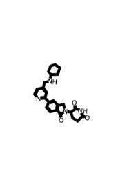 O=C1CCC(N2Cc3cc(-c4cc(CNC5CCCCC5)ccn4)ccc3C2=O)C(=O)N1